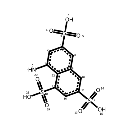 [NH]c1cc(S(=O)(=O)O)cc2cc(S(=O)(=O)O)cc(S(=O)(=O)O)c12